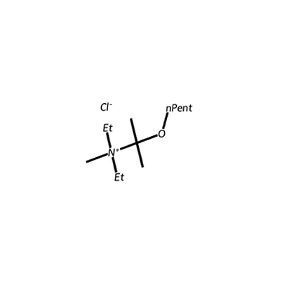 CCCCCOC(C)(C)[N+](C)(CC)CC.[Cl-]